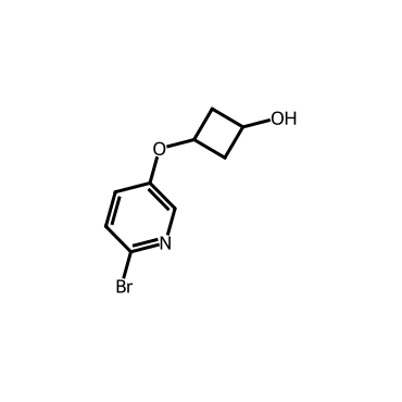 OC1CC(Oc2ccc(Br)nc2)C1